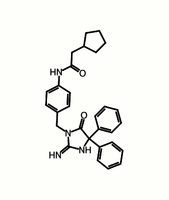 N=C1NC(c2ccccc2)(c2ccccc2)C(=O)N1Cc1ccc(NC(=O)CC2CCCC2)cc1